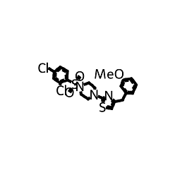 COc1cccc(Cc2csc(N3CCN(S(=O)(=O)c4ccc(Cl)cc4Cl)CC3)n2)c1